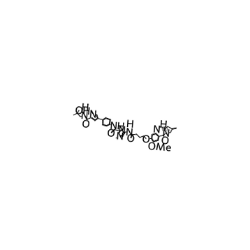 C=C1C[C@H]2C=Nc3cc(OCCCC(=O)Nc4cn(C)c(C(=O)Nc5ccc(-c6cc(C(=O)NCC(C)O)n(C)c6)cc5)n4)c(OC)cc3C(=O)N2C1